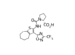 O=C(O)[C@H]1CCCN1C(=O)Nc1sc2c(c1-c1nc(C(F)(F)F)no1)CCCCC2